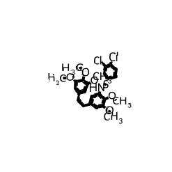 COc1cc(/C=C\c2cc(OC)c(OC)c(OC)c2)cc(NSc2ccc(Cl)c(Cl)c2)c1OC